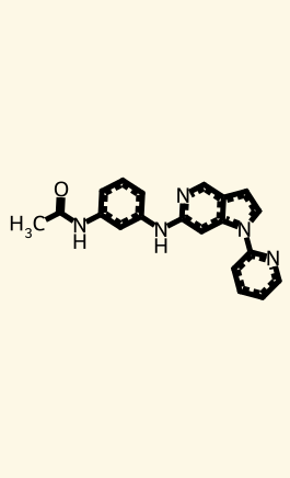 CC(=O)Nc1cccc(Nc2cc3c(ccn3-c3ccccn3)cn2)c1